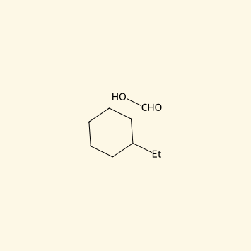 CCC1CCCCC1.O=CO